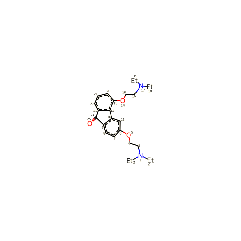 CCN(CC)CCOc1ccc2c(c1)-c1c(OCCN(CC)CC)cccc1C2=O